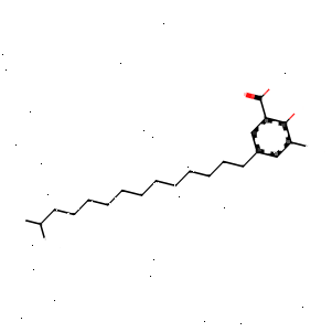 Cc1cc(CCCCCCCCCCCCC(C)C)cc(C(=O)O)c1O